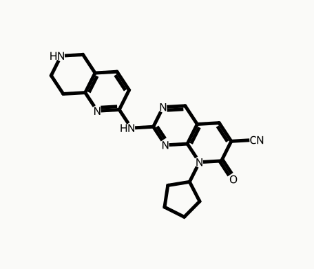 N#Cc1cc2cnc(Nc3ccc4c(n3)CCNC4)nc2n(C2CCCC2)c1=O